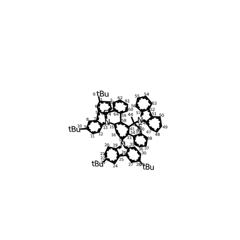 CC(C)(C)c1ccc2c(c1)c1cc(C(C)(C)C)ccc1n2-c1cc(-n2c3ccc(C(C)(C)C)cc3c3cc(C(C)(C)C)ccc32)c(-c2ccccc2F)c(C(C)(C)n2c3ccccc3c3ccccc32)c1-c1ccccc1F